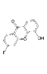 O=c1c2ccc(F)cc2oc2c(O)cccc12